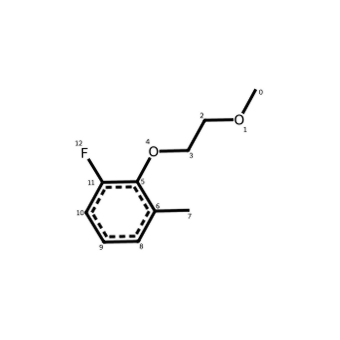 COCCOc1c(C)cccc1F